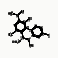 CCOC(=O)[C@@H](OC(C)(C)C)c1c(C)cc(N(C)CC)c(S)c1-c1ccc(Cl)cc1